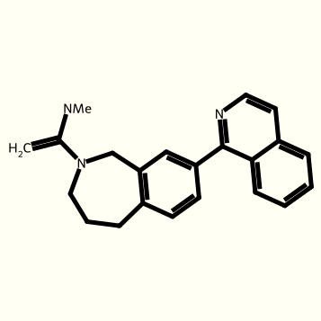 C=C(NC)N1CCCc2ccc(-c3nccc4ccccc34)cc2C1